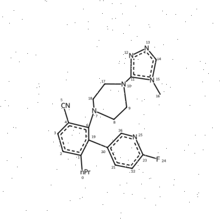 CCCc1ccc(C#N)c(N2CCN(c3nncn3C)CC2)c1-c1ccc(F)nc1